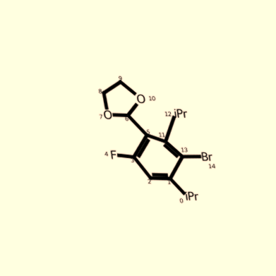 CC(C)c1cc(F)c(C2OCCO2)c(C(C)C)c1Br